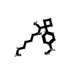 CCCCSCCCCNC(CC)C1(c2ccc(OCC)cc2)CCC1